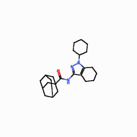 O=C(Nc1nn(C2CCCCC2)c2c1CCCC2)C12CC3CC(CC(C3)C1)C2